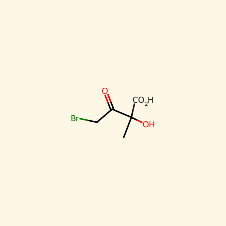 CC(O)(C(=O)O)C(=O)CBr